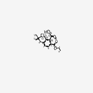 CCOC(=O)c1ccc(CC(C)(C)C)c(Cl)c1C(=O)O